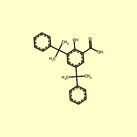 CC(C)(c1ccccc1)c1cc(C(=O)O)c(O)c(C(C)(C)c2ccccc2)c1